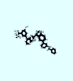 CS(=O)(=O)C(N)c1cc(F)cc(-c2ccnc3[nH]c(-c4n[nH]c5ccc(-c6cncc(NC(=O)c7ccccc7)c6)cc45)nc23)c1